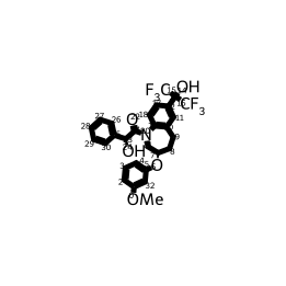 COc1cccc(O[C@H]2CCc3cc(C(O)(C(F)(F)F)C(F)(F)F)ccc3N(C(=O)[C@@H](O)c3ccccc3)C2)c1